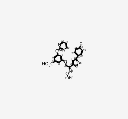 CCCO/N=C(\COc1cc(Oc2ncccn2)cc(C(=O)O)c1)c1cc(-c2ccc(F)cc2)no1